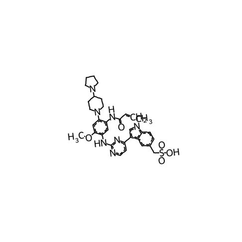 C=CC(=O)Nc1cc(Nc2nccc(-c3cn(C)c4ccc(CS(=O)(=O)O)cc34)n2)c(OC)cc1N1CCC(N2CCCC2)CC1